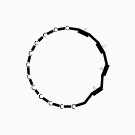 [C]1=C/C=C/C=C\C=C/CCCCCCCCCCCCC/1